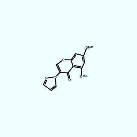 COc1cc(OC)c2c(=O)c(-n3cccn3)coc2c1